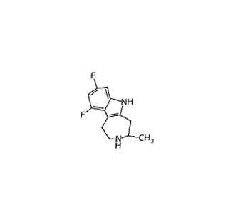 CC1Cc2[nH]c3cc(F)cc(F)c3c2CCN1